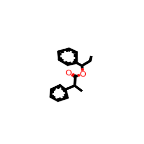 CCC(OC(=O)C(C)c1ccccc1)c1ccccc1